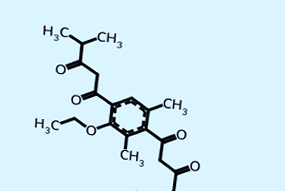 CCOc1c(C(=O)CC(=O)C(C)C)cc(C)c(C(=O)CC(=O)C(C)C)c1C